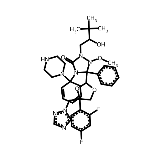 CON1N(CC(O)C(C)(C)C)C(=O)N(C2(N3CCNCC3)C=CC=CC2)C1(c1ccccc1)C1OCC(Cn2cncn2)(c2ccc(F)cc2F)O1